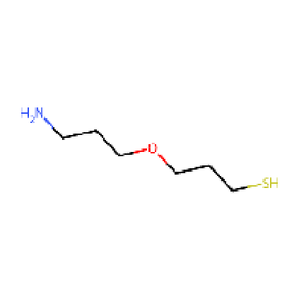 NCCCOCCCS